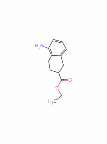 CCOC(=O)C1CCc2c(N)cccc2C1